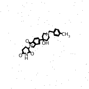 Cc1ccc(CN2CCC(O)(c3ccc4c(c3)CN(C3CCC(=O)NC3=O)C4=O)CC2)cc1